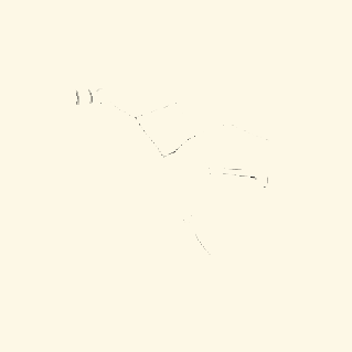 CCC1(C(=O)OC)CC(O)C1